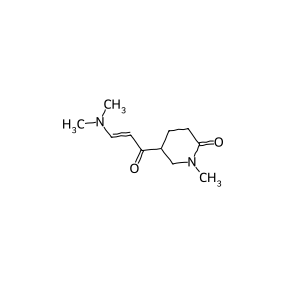 CN(C)/C=C/C(=O)C1CCC(=O)N(C)C1